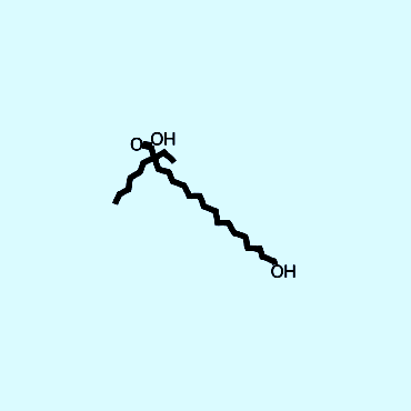 CCCCCCC(CC)(CCCCCCCCCCCCCCCCO)C(=O)O